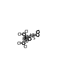 O=S(=O)(c1cc(Cl)cc(Cl)c1)N(c1cccc(NC(=S)Nc2cccc3ccccc23)c1)S(=O)(=O)c1cc(Cl)cc(Cl)c1